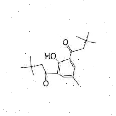 Cc1cc(C(=O)CC(C)(C)C)c(O)c(C(=O)CC(C)(C)C)c1